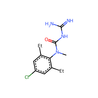 CCc1cc(Cl)cc(CC)c1N(C)C(=O)NC(=N)N